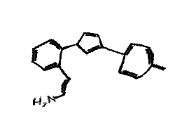 Cc1ccc(C2=C[C@@H](c3ccccc3/C=C\N)C=C2)cc1